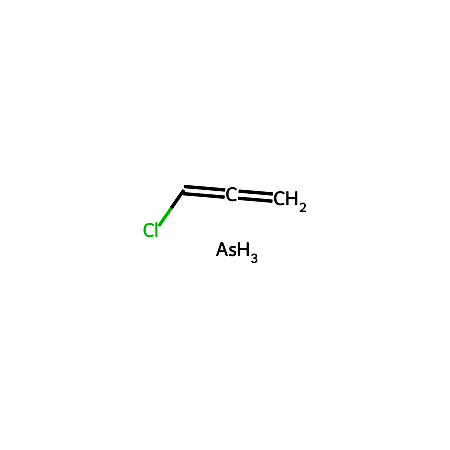 C=C=CCl.[AsH3]